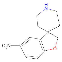 O=[N+]([O-])c1ccc2c(c1)C1(CCNCC1)CO2